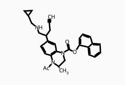 C#CCC(CNCC1CC1)c1ccc2c(c1)N(C(=O)Oc1cccc3ccccc13)C[C@H](C)N2C(C)=O